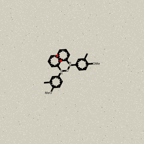 COc1ccc([SiH](O[SiH](c2ccccc2)c2ccc(OC)c(C)c2)c2ccccc2)cc1C